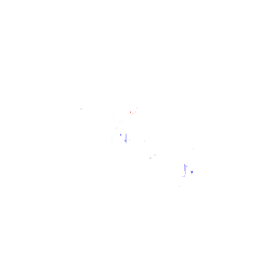 CC1CCC(C(C)C)C(C(=O)NCCc2ccncc2)C1